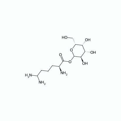 NC(N)CCC[C@H](N)C(=O)OC1O[C@H](CO)[C@H](O)[C@H](O)[C@H]1O